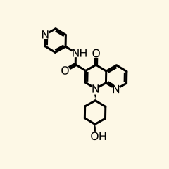 O=C(Nc1ccncc1)c1cn([C@H]2CC[C@H](O)CC2)c2ncccc2c1=O